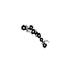 Cn1c(-c2ccc(-c3ccc4c(c3)sc3c5ccc(-c6cccc(-c7nc8ccccc8n7C)c6)cc5sc43)cc2)nc2ccccc21